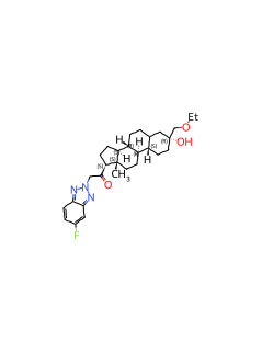 CCOC[C@@]1(O)CC[C@H]2C(CC[C@@H]3[C@@H]2CC[C@]2(C)[C@@H](C(=O)Cn4nc5ccc(F)cc5n4)CC[C@@H]32)C1